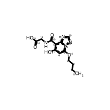 CCCCOc1cc(O)c(C(=O)NCC(=O)O)c2ncnn12